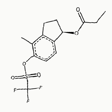 CCC(=O)O[C@@H]1CCc2c1ccc(OS(=O)(=O)C(F)(F)F)c2C